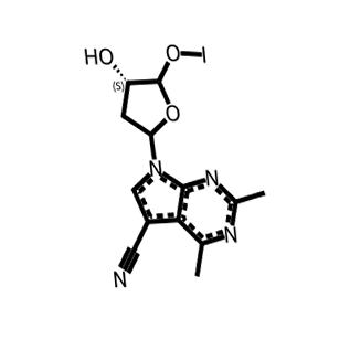 Cc1nc(C)c2c(C#N)cn(C3C[C@H](O)C(OI)O3)c2n1